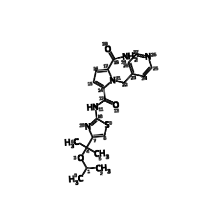 CC(C)OC(C)(C)c1csc(NC(=O)c2ccc(C(N)=O)n2Cc2ccncc2)n1